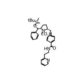 CC(C)(C)[Si](C)(C)OC(c1ccccc1)[C@H]1CC[C@@H](Cc2ccc(C(=O)NCCc3ccccn3)cc2)N1C(=O)O